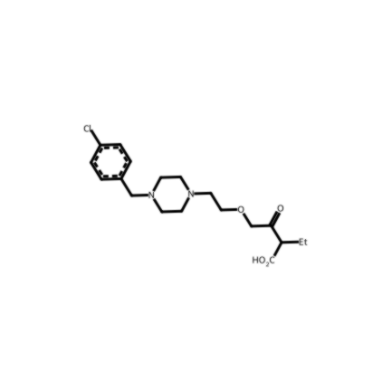 CCC(C(=O)O)C(=O)COCCN1CCN(Cc2ccc(Cl)cc2)CC1